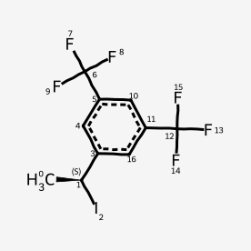 C[C@H](I)c1cc(C(F)(F)F)cc(C(F)(F)F)c1